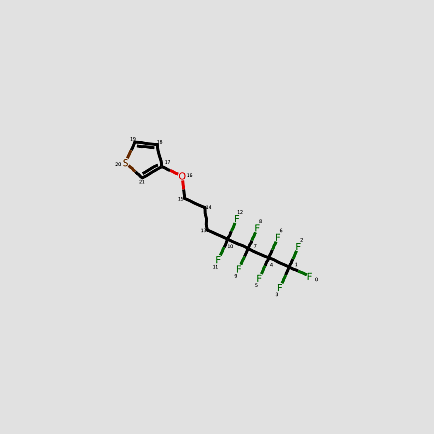 FC(F)(F)C(F)(F)C(F)(F)C(F)(F)CCCOc1ccsc1